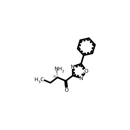 CC[C@H](N)C(=O)c1noc(-c2ccccc2)n1